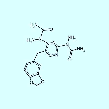 NC(=O)N(N)c1ncc(Cc2ccc3c(c2)OCO3)c(N(N)C(N)=O)n1